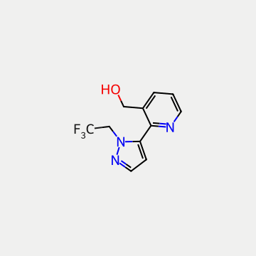 OCc1cccnc1-c1ccnn1CC(F)(F)F